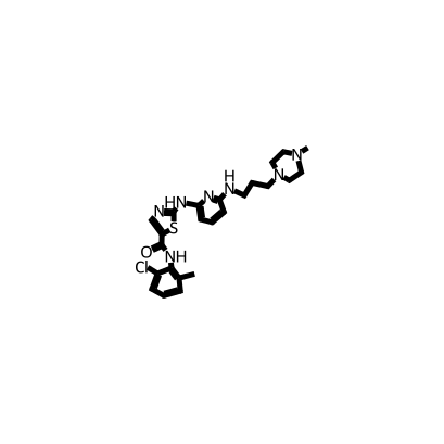 Cc1cccc(Cl)c1NC(=O)c1cnc(Nc2cccc(NCCCN3CCN(C)CC3)n2)s1